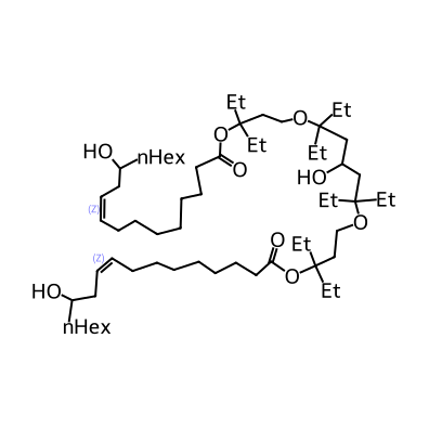 CCCCCCC(O)C/C=C\CCCCCCCC(=O)OC(CC)(CC)CCOC(CC)(CC)CC(O)CC(CC)(CC)OCCC(CC)(CC)OC(=O)CCCCCCC/C=C\CC(O)CCCCCC